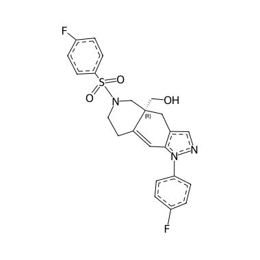 O=S(=O)(c1ccc(F)cc1)N1CCC2=Cc3c(cnn3-c3ccc(F)cc3)C[C@]2(CO)C1